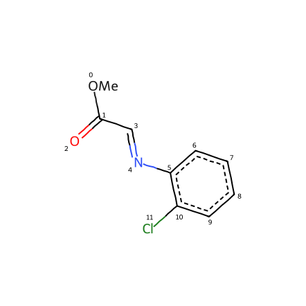 COC(=O)C=Nc1ccccc1Cl